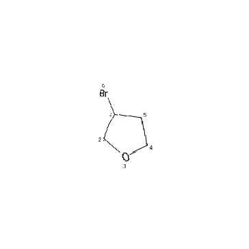 BrC1[CH]OCC1